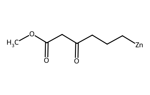 COC(=O)CC(=O)CC[CH2][Zn]